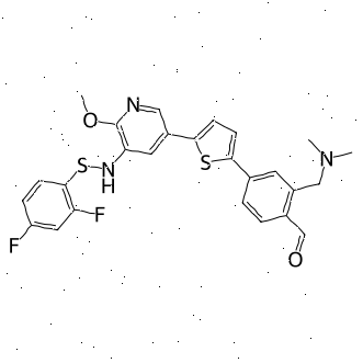 COc1ncc(-c2ccc(-c3ccc(C=O)c(CN(C)C)c3)s2)cc1NSc1ccc(F)cc1F